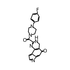 O=C1C=C2N=CC=C2C2=C1CNC(C(=O)N1CCN(c3ccc(F)cc3)CC1)=N2